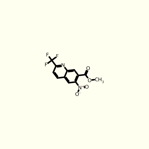 COC(=O)c1cc2nc(C(F)(F)F)ccc2cc1[N+](=O)[O-]